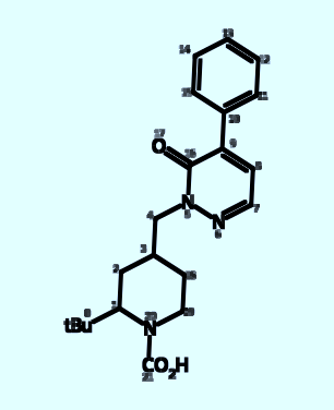 CC(C)(C)C1CC(Cn2nccc(-c3ccccc3)c2=O)CCN1C(=O)O